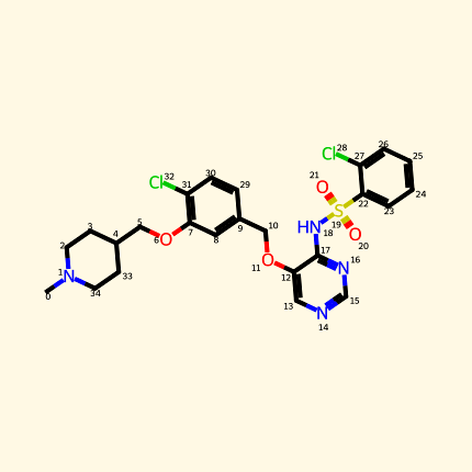 CN1CCC(COc2cc(COc3cncnc3NS(=O)(=O)c3ccccc3Cl)ccc2Cl)CC1